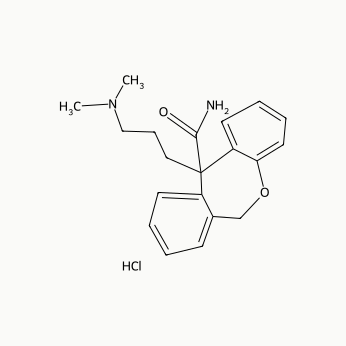 CN(C)CCCC1(C(N)=O)c2ccccc2COc2ccccc21.Cl